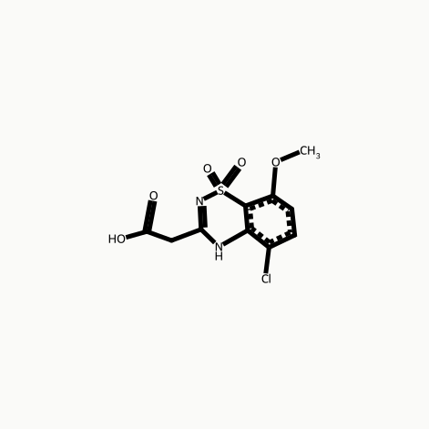 COc1ccc(Cl)c2c1S(=O)(=O)N=C(CC(=O)O)N2